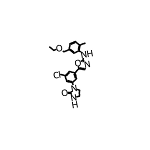 CCOCc1ccc(C)c(Nc2ncc(-c3cc(Cl)cc(N4CCNC4=O)c3)o2)c1